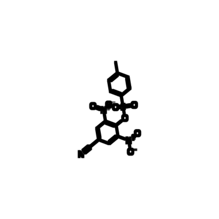 Cc1ccc(S(=O)(=O)Oc2c([N+](=O)[O-])cc(C#N)cc2[N+](=O)[O-])cc1